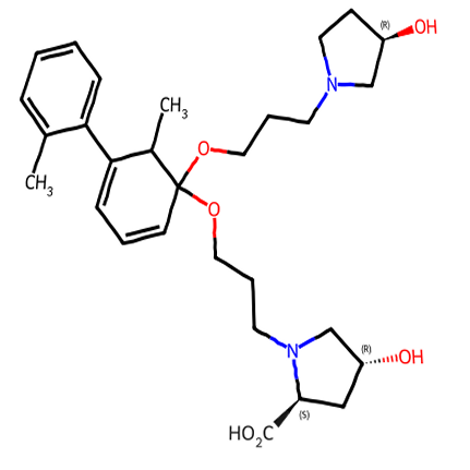 Cc1ccccc1C1=CC=CC(OCCCN2CC[C@@H](O)C2)(OCCCN2C[C@H](O)C[C@H]2C(=O)O)C1C